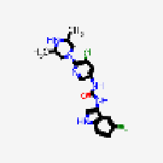 CC1CN(c2ncc(NC(=O)Nc3c[nH]c4ccc(Cl)cc34)cc2Cl)CC(C)N1